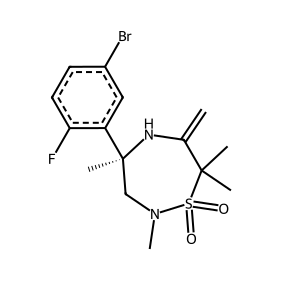 C=C1N[C@](C)(c2cc(Br)ccc2F)CN(C)S(=O)(=O)C1(C)C